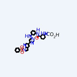 O=C(O)NC1CCCC(C(=O)Nc2cccc(Nc3cc(-c4cnc5c(ccn5S(=O)(=O)c5ccccc5)c4)ncn3)c2)C1